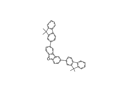 CC1(C)c2ccccc2-c2ccc(-c3ccc4oc5ccc(-c6ccc7c(c6)C(C)(C)c6ccccc6-7)cc5c4c3)cc21